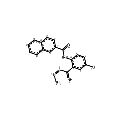 N=C(/N=N\N)c1cc(Cl)ccc1NC(=O)c1ccc2ccccc2c1